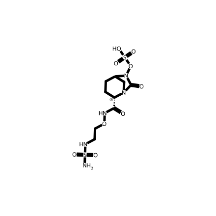 NS(=O)(=O)NCCONC(=O)[C@@H]1CCC2CN1C(=O)N2OS(=O)(=O)O